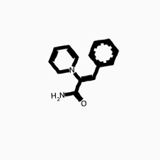 NC(=O)C(=Cc1ccccc1)N1C=CC=CC1